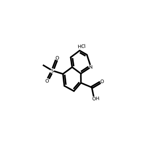 CS(=O)(=O)c1ccc(C(=O)O)c2ncccc12.Cl